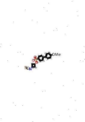 COc1ccc(-c2ccc(S(=O)(=O)OC3CC(N=C=S)C3)cc2)cc1